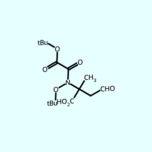 CC(C)(C)OC(=O)C(=O)N(OC(C)(C)C)C(C)(CC=O)C(=O)O